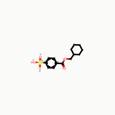 O=C(OCC1CCCCC1)c1ccc(S(=O)(=O)O)cc1